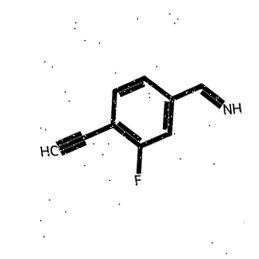 C#Cc1ccc(C=N)cc1F